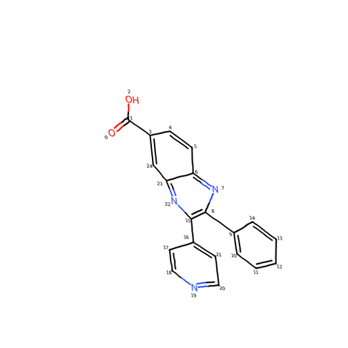 O=C(O)c1ccc2nc(-c3ccccc3)c(-c3ccncc3)nc2c1